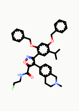 CC(C)c1cc(-c2noc(C(=O)NCCF)c2-c2ccc3c(c2)CCN(C)C3)c(OCc2ccccc2)cc1OCc1ccccc1